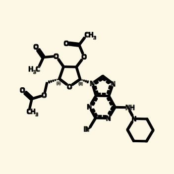 CC(=O)OC[C@H]1O[C@@H](n2cnc3c(NN4CCCCC4)nc(Br)nc32)C(OC(C)=O)C1OC(C)=O